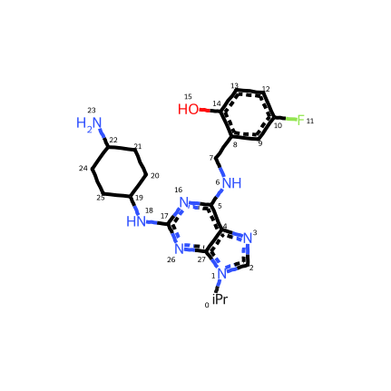 CC(C)n1cnc2c(NCc3cc(F)ccc3O)nc(NC3CCC(N)CC3)nc21